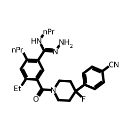 CCCN/C(=N\N)c1cc(C(=O)N2CCC(F)(c3ccc(C#N)cc3)CC2)c(CC)cc1CCC